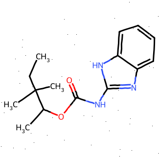 CCC(C)(C)C(C)OC(=O)Nc1nc2ccccc2[nH]1